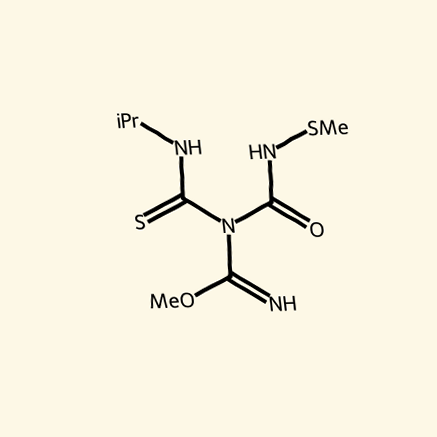 COC(=N)N(C(=O)NSC)C(=S)NC(C)C